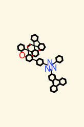 c1ccc(-c2nc(-c3ccc(-c4ccc5c(c4)C4(c6ccccc6O5)c5ccccc5C5(c6ccccc6-c6ccccc65)c5ccccc54)cc3)nc(-c3ccc4c5ccccc5c5ccccc5c4c3)n2)cc1